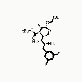 C[C@H]1[C@H](OCC(C)(C)C)OC[C@H]([C@@H](O)[C@@H](N)Cc2cc(F)cc(F)c2)N1C(=O)OC(C)(C)C